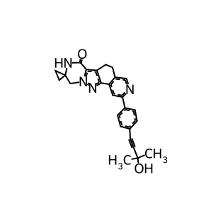 CC(C)(O)C#Cc1ccc(-c2cc3c(cn2)CCc2c-3nn3c2C(=O)NC2(CC2)C3)cc1